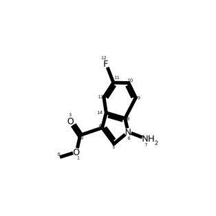 COC(=O)c1cn(N)c2ccc(F)cc12